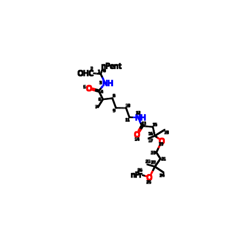 CCCCCC(C=O)NC(=O)C(C)CCCCNC(=O)CC(C)(C)OCCC(C)(C)OCCC